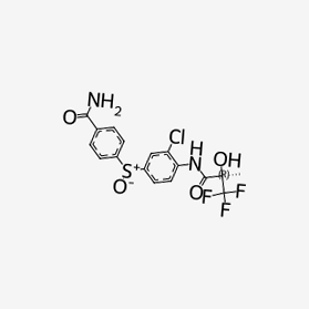 C[C@@](O)(C(=O)Nc1ccc([S+]([O-])c2ccc(C(N)=O)cc2)cc1Cl)C(F)(F)F